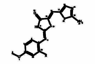 COc1ccc(N=C2NC(=O)C(=Cc3cnc(N)s3)S2)c(C)c1